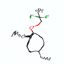 CCCC(F)(F)COC1=C(OC)CCC(NC)CC1